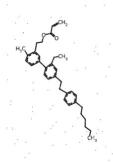 C=CC(=O)OCCc1cc(-c2ccc(CCc3ccc(CCCCCC)cc3)cc2CC)ccc1C